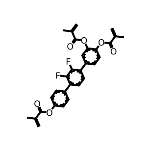 C=C(C)C(=O)Oc1ccc(-c2ccc(-c3ccc(OC(=O)C(=C)C)c(OC(=O)C(=C)C)c3)c(F)c2F)cc1